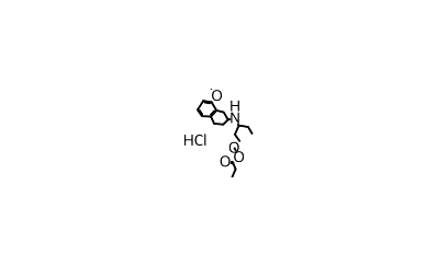 CCC(=O)OOCCC(CC)NC1CCc2cccc(OC)c2C1.Cl